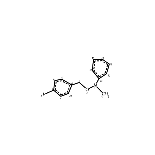 CN(OCc1ccc(F)cc1)c1ccccc1